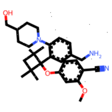 COc1cc(OC2(c3cc(CN)ccc3N3CCC(CO)CC3)C(C)(C)CC2(C)C)ccc1C#N